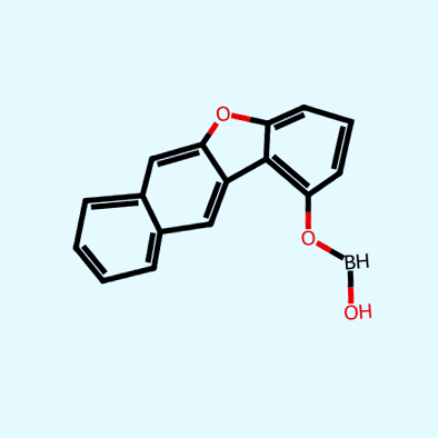 OBOc1cccc2oc3cc4ccccc4cc3c12